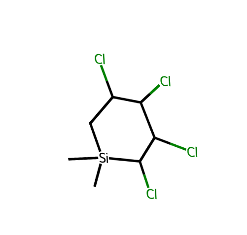 C[Si]1(C)CC(Cl)C(Cl)C(Cl)C1Cl